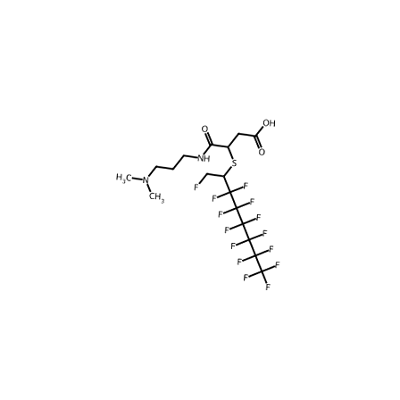 CN(C)CCCNC(=O)C(CC(=O)O)SC(CF)C(F)(F)C(F)(F)C(F)(F)C(F)(F)C(F)(F)C(F)(F)F